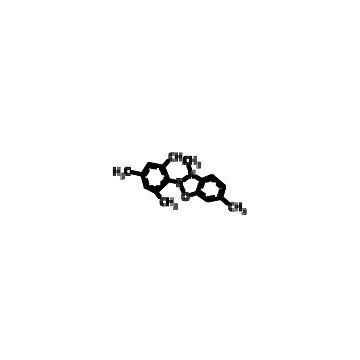 Cc1cc(C)c(B2Oc3cc(C)ccc3N2C)c(C)c1